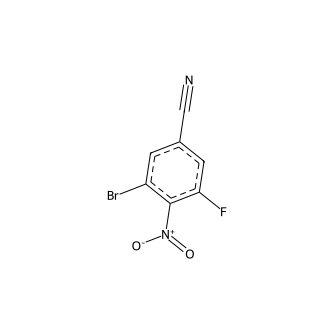 N#Cc1cc(F)c([N+](=O)[O-])c(Br)c1